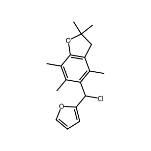 Cc1c(C)c(C(Cl)c2ccco2)c(C)c2c1OC(C)(C)C2